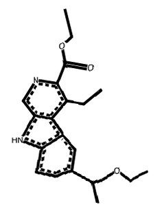 CCOC(=O)c1ncc2[nH]c3ccc(C(C)OCC)cc3c2c1CC